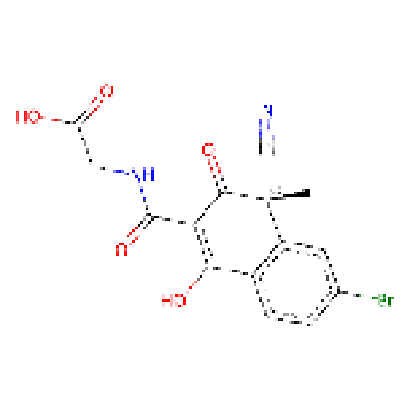 C[C@]1(C#N)C(=O)C(C(=O)NCC(=O)O)=C(O)c2ccc(Br)cc21